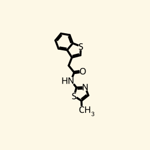 Cc1cnc(NC(=O)Cc2csc3ccccc23)s1